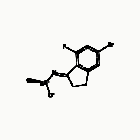 CC(C)(C)[S@+]([O-])N=C1CCc2cc(Br)cc(F)c21